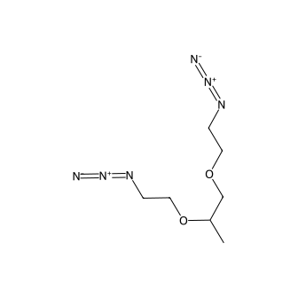 CC(COCCN=[N+]=[N-])OCCN=[N+]=[N-]